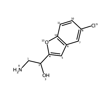 NCC(O)c1cc2cc(Cl)ccc2o1